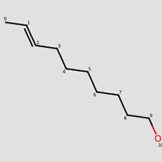 CC=CCCCCCCC[O]